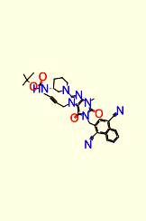 CC#CCn1c(N2CCC[C@@H](NC(=O)OC(C)(C)C)C2)nc2c1c(=O)n(Cc1cc(C#N)c3ccccc3c1C#N)c(=O)n2C